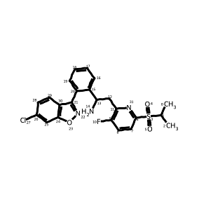 CC(C)S(=O)(=O)c1ccc(F)c(CC(N)c2ccccc2-c2noc3cc(Cl)ccc23)n1